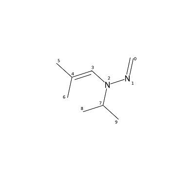 C=NN(C=C(C)C)C(C)C